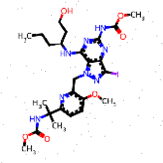 CCC[C@@H](CCO)Nc1nc(NC(=O)OC)nc2c(I)nn(Cc3nc(C(C)(C)NC(=O)OC)ccc3OC)c12